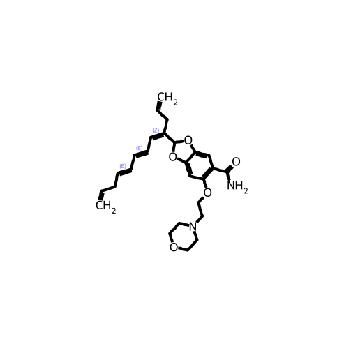 C=CC/C=C/C=C/C=C(/CC=C)C1Oc2cc(OCCN3CCOCC3)c(C(N)=O)cc2O1